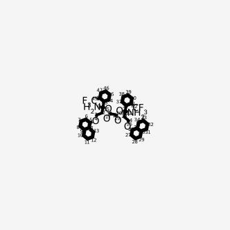 NC(CCOc1cccc2ccccc12)(OC(=O)C(=O)OC(N)(CCOc1cccc2ccccc12)c1ccccc1C(F)(F)F)c1ccccc1C(F)(F)F